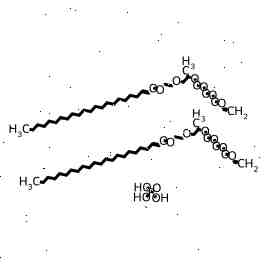 C=COOOOOOOC(C)COCCOOC=CCCCCCCCCCCCCCCCCCCCC.C=COOOOOOOC(C)COCCOOC=CCCCCCCCCCCCCCCCCCCCC.O=P(O)(O)O